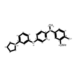 COc1cc(N(C)c2ccc(Oc3cccc(N4CCCC4)c3)cn2)ccc1F